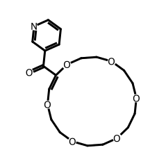 O=C(/C1=C/OCCOCCOCCOCCOCCO1)c1cccnc1